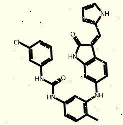 Cc1ccc(NC(=O)Nc2cccc(Cl)c2)cc1Nc1ccc2c(c1)NC(=O)/C2=C\c1ccc[nH]1